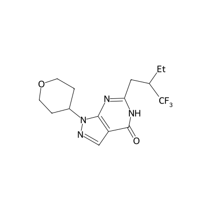 CCC(Cc1nc2c(cnn2C2CCOCC2)c(=O)[nH]1)C(F)(F)F